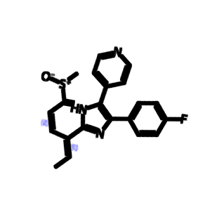 C=C(/C=C\C(=C/C)c1nc(-c2ccc(F)cc2)c(-c2ccncc2)[nH]1)[S+](C)[O-]